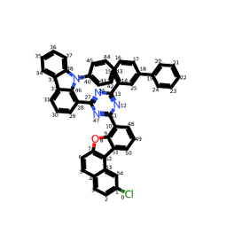 Clc1ccc2ccc3oc4c(-c5nc(-c6cccc(-c7ccccc7)c6)nc(-c6cccc7c8ccccc8n(-c8ccccc8)c67)n5)cccc4c3c2c1